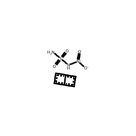 NS(=O)(=O)N[N+](=O)[O-].c1cc2ccc1-2